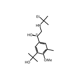 CCC(C)(C)NC[C@H](O)c1cc(C)c(OC)c(C(C)(C)O)c1